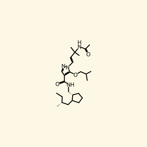 CC[C@@H](C)CC1CCC[C@H]1CNC(=O)c1cnn(/C=C/C(C)(C)NC(C)=O)c1OCC(C)C